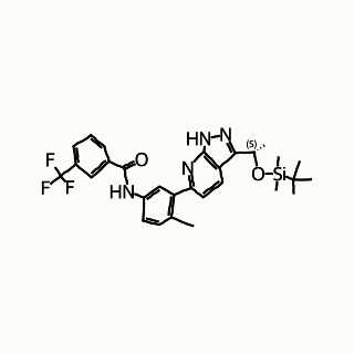 Cc1ccc(NC(=O)c2cccc(C(F)(F)F)c2)cc1-c1ccc2c([C@H](C)O[Si](C)(C)C(C)(C)C)n[nH]c2n1